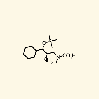 CN(C[C@@H](N)[C@@H](O[Si](C)(C)C)C1CCCCC1)C(=O)O